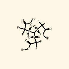 CC(C)OC(=O)C(F)(F)S(=O)(=O)C(S(=O)(=O)C(F)(F)C(=O)OC(C)C)S(=O)(=O)C(F)(F)C(=O)OC(C)C